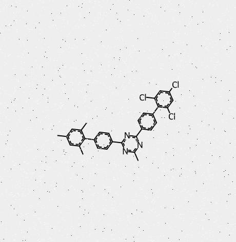 Cc1cc(C)c(-c2ccc(-c3nc(C)nc(-c4ccc(-c5c(Cl)cc(Cl)cc5Cl)cc4)n3)cc2)c(C)c1